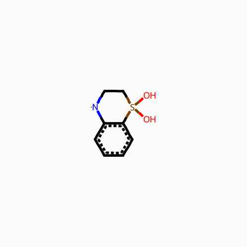 OS1(O)CC[N]c2ccccc21